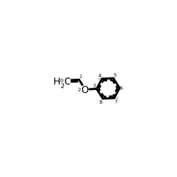 C=COc1[c]cc[c]c1